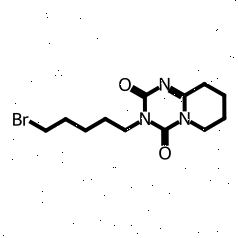 O=c1nc2n(c(=O)n1CCCCCBr)CCCC2